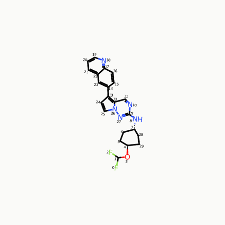 FC(F)O[C@H]1CC[C@H](Nc2ncc3c(-c4ccc5ncccc5c4)ccn3n2)CC1